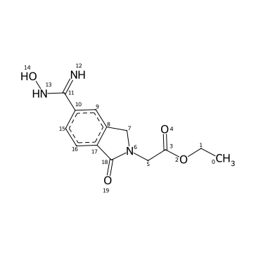 CCOC(=O)CN1Cc2cc(C(=N)NO)ccc2C1=O